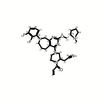 C=CC(=O)N1CCN(c2nc(OC[C@@H]3CCCN3C)nc3c2CCCN(c2cccc(F)c2F)C3)CC1CC#N